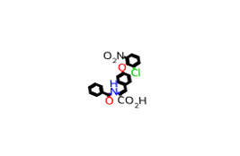 O=C(O)C(=Cc1ccc(Oc2c(Cl)cccc2[N+](=O)[O-])cc1)NC(=O)c1ccccc1